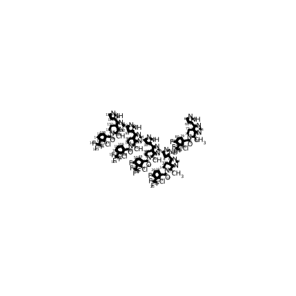 CC1c2ncnc(-c3ccn[nH]3)c2CCN1C(=O)c1ccc(F)c(C(F)(F)F)c1Cl.CC1c2ncnc(-c3ccn[nH]3)c2CCN1C(=O)c1ccc(F)c(C(F)(F)F)c1Cl.C[C@@H]1c2ncnc(-c3ccn[nH]3)c2CCN1C(=O)c1ccc(F)c(C(F)(F)F)c1Cl.C[C@@H]1c2ncnc(-c3ccn[nH]3)c2CCN1C(=O)c1cccc(C(F)(F)F)c1Cl.C[C@H]1c2ncnc(-c3ccn[nH]3)c2CCN1C(=O)c1cccc(C(F)(F)F)c1Cl